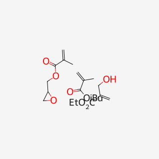 C=C(C)C(=O)OCC(C)C.C=C(C)C(=O)OCC1CO1.C=C(CO)C(=O)OCC